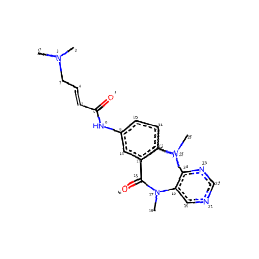 CN(C)C/C=C/C(=O)Nc1ccc2c(c1)C(=O)N(C)c1cncnc1N2C